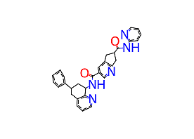 O=C(NC1CC(c2ccccc2)Cc2cccnc21)c1cnc2c(c1)CC(C(=O)Nc1ccccn1)C2